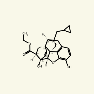 CCOC(=O)[C@H]1C[C@@]23C=C[C@]1(O)[C@@H]1Oc4c(O)ccc5c4[C@@]12CCN(CC1CC1)[C@@H]3C5